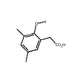 Cc1cc(C)c(OI)c(CC(=O)O)c1